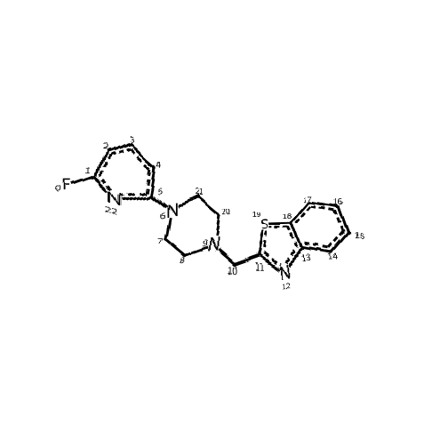 Fc1cccc(N2CCN(Cc3nc4ccccc4s3)CC2)n1